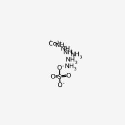 N.N.N.N.N.N.O=S(=O)([O-])[O-].[Co+2]